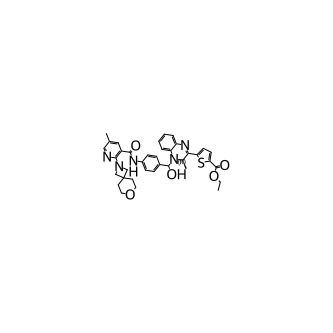 CCOC(=O)c1ccc(C2=Nc3ccccc3N(C(O)c3ccc(NC(=O)c4cc(C)cnc4N4CC5(CCOCC5)C4)cc3)[C@@H]2C)s1